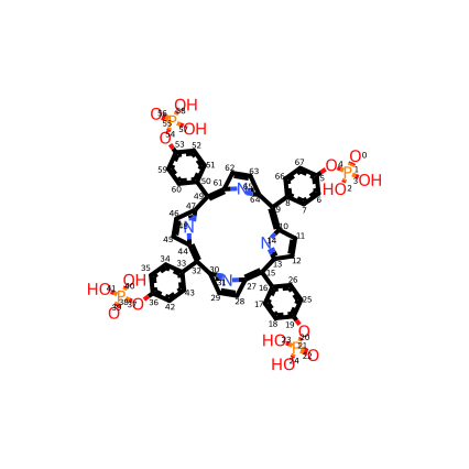 O=P(O)(O)Oc1ccc(C2=C3C=CC(=N3)C(c3ccc(OP(=O)(O)O)cc3)=C3C=CC(=N3)C(c3ccc(OP(=O)(O)O)cc3)=C3C=CC(=N3)C(c3ccc(OP(=O)(O)O)cc3)=C3C=CC2=N3)cc1